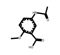 COc1ccc(NC(C)=O)cc1C(=O)O